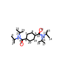 CC(C)N(C(=O)C1CCC(C(=O)N(C(C)C)C(C)C)CC1)C(C)C